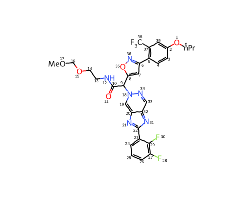 CCCOc1ccc(-c2cc(C(C(=O)NCCOCOC)n3cc4nc(-c5cccc(F)c5F)nc-4cn3)on2)c(C(F)(F)F)c1